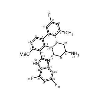 COc1ncc(-c2cc(C)cc(F)c2)c(N2CCC(N)CC2)c1-c1nc2cc(F)cc(F)c2[nH]1